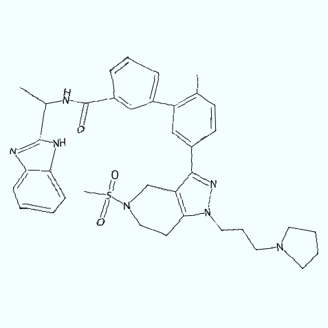 Cc1ccc(-c2nn(CCCN3CCCC3)c3c2CN(S(C)(=O)=O)CC3)cc1-c1cccc(C(=O)NC(C)c2nc3ccccc3[nH]2)c1